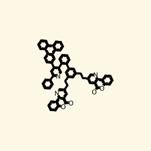 O=c1oc2ccccc2c2ncc(CCc3cc(CCc4cnc5c(c4)c(=O)oc4ccccc45)cc(-c4ccccc4-c4cnc(-c5ccccc5)cc4-c4ccc5c6ccccc6c6ccccc6c5c4)c3)cc12